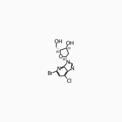 OC[C@H]1O[C@@H](n2cnc3c(Cl)cc(Br)nc32)C[C@@H]1O